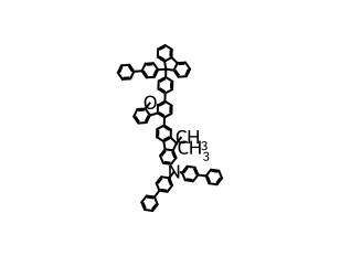 CC1(C)c2cc(-c3ccc(-c4ccc(C5(c6ccc(-c7ccccc7)cc6)c6ccccc6-c6ccccc65)cc4)c4oc5ccccc5c34)ccc2-c2ccc(N(c3ccc(-c4ccccc4)cc3)c3ccc(-c4ccccc4)cc3)cc21